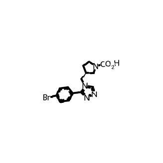 O=C(O)N1CC[C@H](Cn2cnnc2-c2ccc(Br)cc2)C1